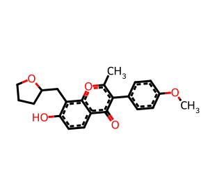 COc1ccc(-c2c(C)oc3c(CC4CCCO4)c(O)ccc3c2=O)cc1